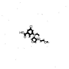 CCN(c1cc(Cl)cc(C(=O)O)c1C)[C@@H]1COC[C@H]1OCCOC